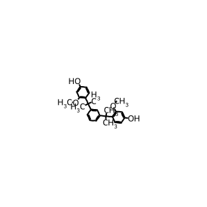 COc1cc(O)ccc1C(C)(C)c1cccc(C(C)(C)c2ccc(O)cc2OC)c1